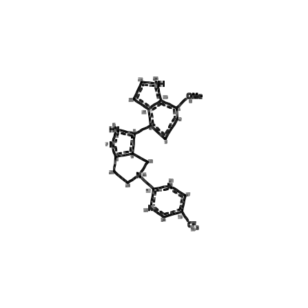 COc1ccc(-c2[nH]nc3c2CN(c2ncc(C(F)(F)F)cn2)CC3)c2cc[nH]c12